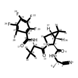 C[C@@H](C#N)NC(=O)[C@@H]1[C@@H]2[C@H](CN1C(=O)[C@@H](NC(=O)c1c(F)c(F)c(F)c(F)c1F)C(C)(C)C)C2(C)C